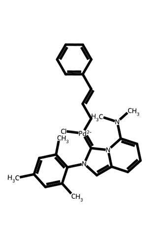 Cc1cc(C)c(-n2cc3cccc(N(C)C)n3[c]2=[Pd-2]([Cl])[CH2]C=Cc2ccccc2)c(C)c1